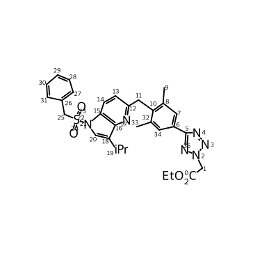 CCOC(=O)Cn1nnc(-c2cc(C)c(Cc3ccc4c(n3)c(C(C)C)cn4S(=O)(=O)Cc3ccccc3)c(C)c2)n1